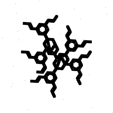 CC=Cc1cc(C=CC)cc(C23CC4CC(c5cc(C=CC)cc(C=CC)c5)(C2)CC(C25CC6(c7cc(C=CC)cc(C=CC)c7)CC(c7cc(C=CC)cc(C=CC)c7)(CC(c7cc(C=CC)cc(C=CC)c7)(C6)C2)C5)(C4)C3)c1